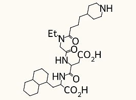 CCN(CC(=O)NC(CC(=O)O)C(=O)NC(CC1CCCC2CCCCC21)C(=O)O)C(=O)CCCC1CCNCC1